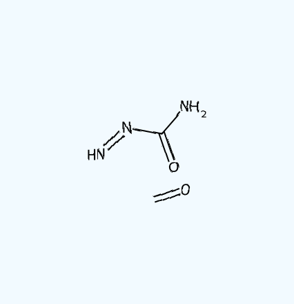 C=O.N=NC(N)=O